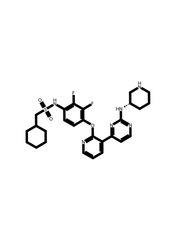 O=S(=O)(CC1CCCCC1)Nc1ccc(Oc2ncccc2-c2ccnc(N[C@H]3CCCNC3)n2)c(F)c1F